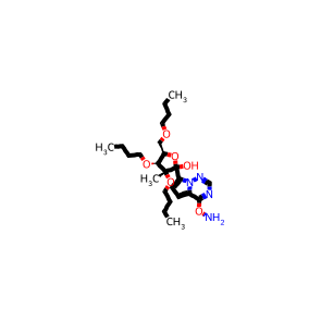 CCCCOC[C@H]1OC(O)(c2ccc3c(ON)ncnn23)[C@](C)(OCCCC)[C@@H]1OCCCC